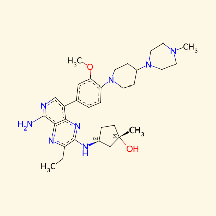 CCc1nc2c(N)ncc(-c3ccc(N4CCC(N5CCN(C)CC5)CC4)c(OC)c3)c2nc1N[C@H]1CC[C@](C)(O)C1